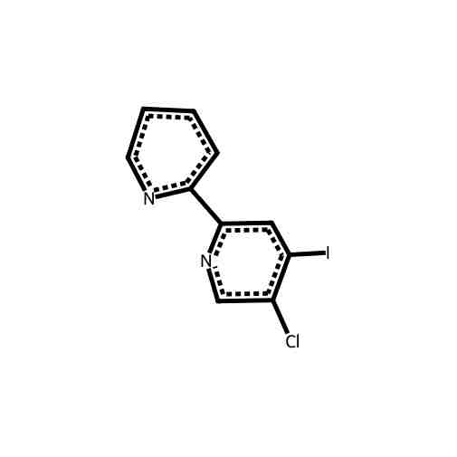 Clc1cnc(-c2ccccn2)cc1I